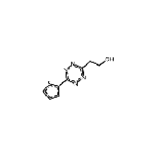 OCCc1nnc(-c2cccs2)nn1